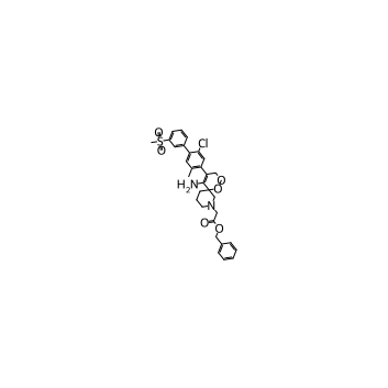 Cc1cc(-c2cccc(S(C)(=O)=O)c2)c(Cl)cc1C1=C(N)C2(CCCN(CC(=O)OCc3ccccc3)C2)OOC1